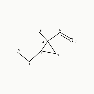 CCC1CC1(C)C=O